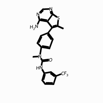 Cc1sc2ncnc(N)c2c1-c1ccc(N(C)C(=O)Nc2cccc(C(F)(F)F)c2)cc1